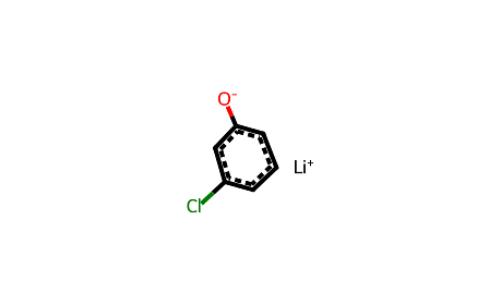 [Li+].[O-]c1cccc(Cl)c1